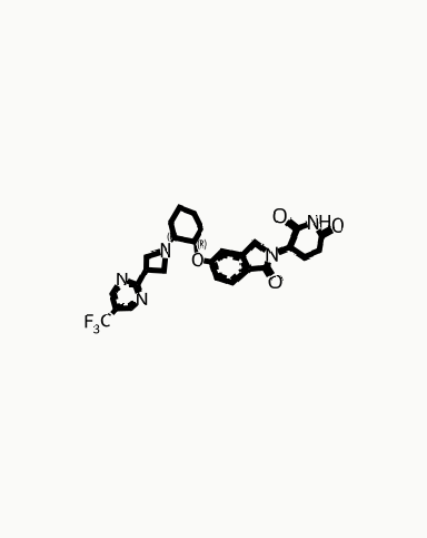 O=C1CCC(N2Cc3cc(O[C@@H]4CCCC[C@H]4N4CC(c5ncc(C(F)(F)F)cn5)C4)ccc3C2=O)C(=O)N1